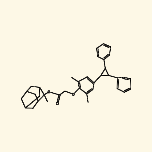 Cc1cc(C2C(c3ccccc3)C2c2ccccc2)cc(C)c1OCC(=O)OC1(C)C2CC3CC(C2)CC1C3